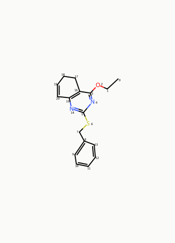 CCOc1nc(SCc2ccccc2)nc2c1CCC=C2